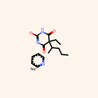 CCCC(C)C1(CC)C(=O)N=C([O-])NC1=O.[Na+].c1ccncc1